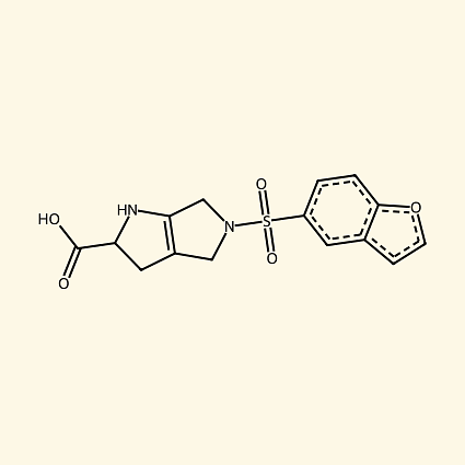 O=C(O)C1CC2=C(CN(S(=O)(=O)c3ccc4occc4c3)C2)N1